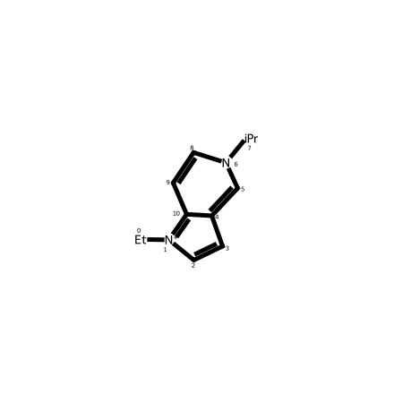 CC[n+]1ccc2cn(C(C)C)ccc1-2